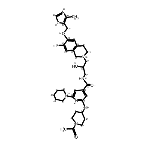 CC(=O)N1CCC(Nc2cc(C(=O)NCC(O)CN3CCc4cc(OCc5ocnc5C)c(F)cc4C3)cc(N3CCCCC3)n2)CC1